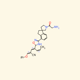 C\C=C/C(=C\C(C#N)=C\OC(C)C)C1NC(c2cccc3c2CCC32CCN(C(=O)CN)C2)=NO1